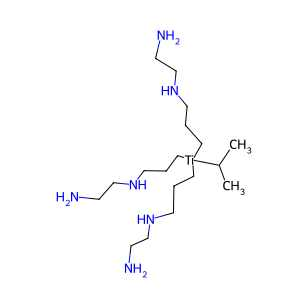 C[CH](C)[Ti]([CH2]CCNCCN)([CH2]CCNCCN)[CH2]CCNCCN